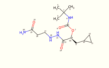 CC(C)(C)NC(=O)O[C@@H](CC1CC1)C(=O)NNCCC(N)=O